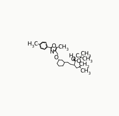 C=C(C)CC(CCC1CCCC(OCc2nc(-c3ccc(C)cc3)oc2C)C1)C(=O)OC(C)(C)C